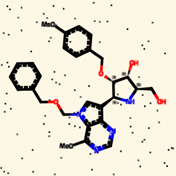 COc1ccc(CO[C@@H]2[C@H](O)[C@@H](CO)N[C@H]2c2cn(COCc3ccccc3)c3c(OC)ncnc23)cc1